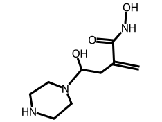 C=C(CC(O)N1CCNCC1)C(=O)NO